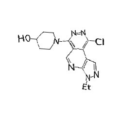 CCn1ncc2c3c(Cl)nnc(N4CCC(O)CC4)c3cnc21